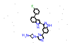 NC1CN(c2cncc(-c3ccc4[nH]nc(-c5cc6c(-c7cccc(F)c7)cccc6[nH]5)c4c3)n2)C1